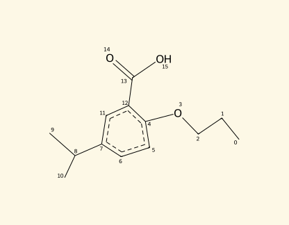 CCCOc1ccc(C(C)C)cc1C(=O)O